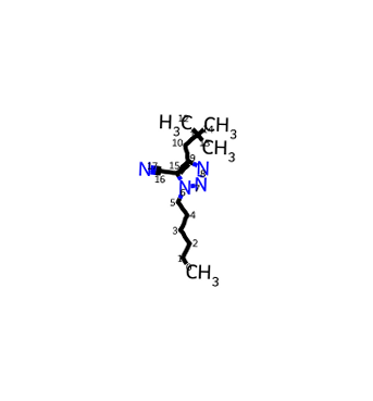 CCCCCCn1nnc(CC(C)(C)C)c1C#N